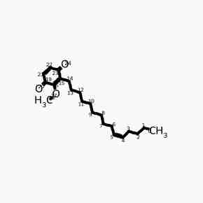 CCCC/C=C\CCCCCCCCCC1=C(OC)C(=O)C=CC1=O